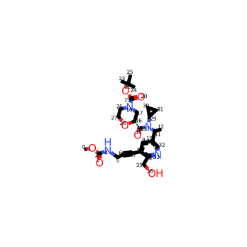 COC(=O)NCC#Cc1cc(C(C)N(C(=O)[C@H]2CN(C(=O)OC(C)(C)C)CCO2)C2CC2)cnc1CO